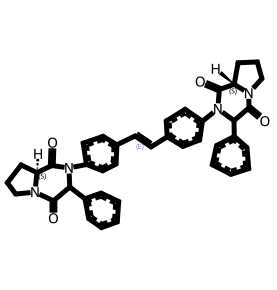 O=C1[C@@H]2CCCN2C(=O)C(c2ccccc2)N1c1ccc(/C=C/c2ccc(N3C(=O)[C@@H]4CCCN4C(=O)C3c3ccccc3)cc2)cc1